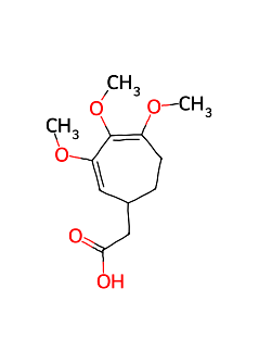 COC1=CC(CC(=O)O)CCC(OC)=C1OC